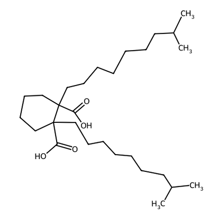 CC(C)CCCCCCCC1(C(=O)O)CCCCC1(CCCCCCCC(C)C)C(=O)O